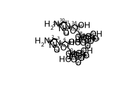 Nc1ccn([C@H]2C[C@H](O)[C@@H](COP(=O)(O)OP(=O)(O)OP(=O)(O)O)O2)c(=O)n1.Nc1ccn([C@H]2C[C@H](O)[C@@H](COP(=O)(O)OP(=O)(O)OP(=O)(O)O)O2)c(=O)n1